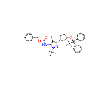 CC(C)(C)n1nc(C2CCC(O[Si](c3ccccc3)(c3ccccc3)C(C)(C)C)C2)c(I)c1NC(=O)OCc1ccccc1